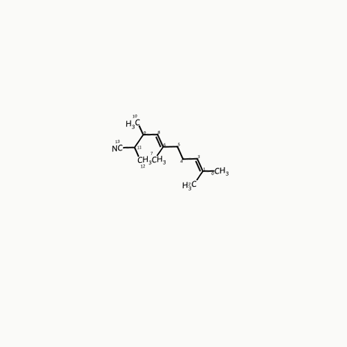 CC(C)=CCC/C(C)=C/C(C)C(C)C#N